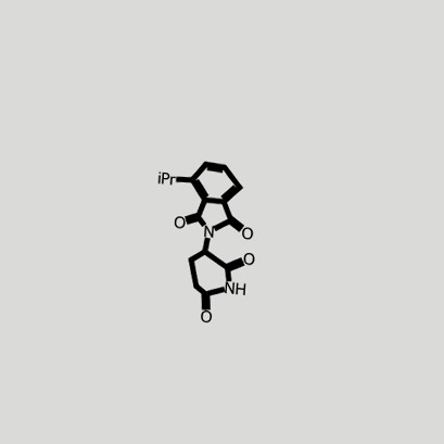 CC(C)c1cccc2c1C(=O)N(C1CCC(=O)NC1=O)C2=O